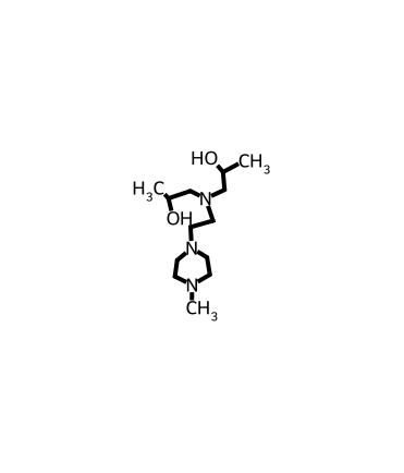 CC(O)CN(CCN1CCN(C)CC1)CC(C)O